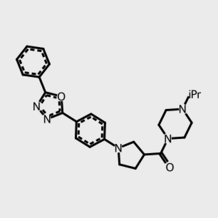 CC(C)N1CCN(C(=O)C2CCN(c3ccc(-c4nnc(-c5ccccc5)o4)cc3)C2)CC1